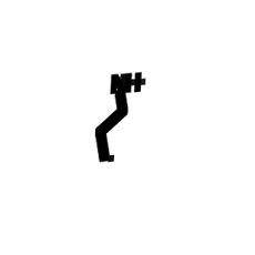 [CH2]CC[NH]